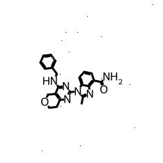 Cc1nc2c(C(N)=O)cccc2n1-c1nc2c(c(NCc3ccccc3)n1)COCC2